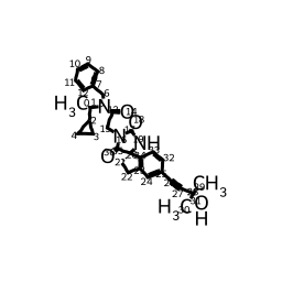 C[C@@H](C1CC1)N(Cc1ccccc1)C(=O)CN1C(=O)N[C@]2(CCc3cc(C#CC(C)(C)O)ccc32)C1=O